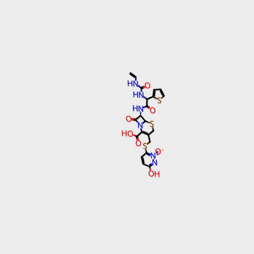 C=CNC(=O)NC(C(=O)N[C@@H]1C(=O)N2C(C(=O)O)=C(CSc3ccc(O)n[n+]3[O-])CSC12)c1cccs1